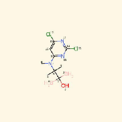 BC(B)(O)C(C)(C)N(C)c1cc(Cl)nc(Cl)n1